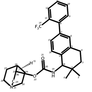 CC1(C)CCc2cc(-c3ccccc3C(F)(F)F)ccc2C1NC(=O)O[C@H]1CN2CCC1CC2